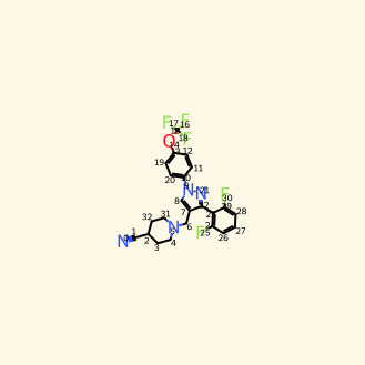 N#CC1CCN(Cc2cn(-c3ccc(OC(F)(F)F)cc3)nc2-c2c(F)cccc2F)CC1